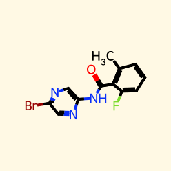 Cc1cccc(F)c1C(=O)Nc1cnc(Br)cn1